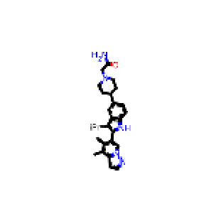 Cc1c(-c2[nH]c3ccc(C4CCN(CC(N)=O)CC4)cc3c2C(C)C)cn2nccc2c1C